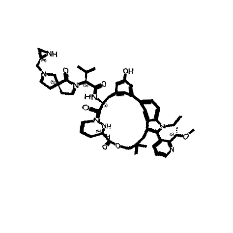 CCn1c(-c2cccnc2[C@H](C)OC)c2c3cc(ccc31)-c1cc(O)cc(c1)C[C@H](NC(=O)[C@H](C(C)C)N1CC[C@]3(CCN(C[C@H]4CN4)C3)C1=O)C(=O)N1CCC[C@H](N1)C(=O)OCC(C)(C)C2